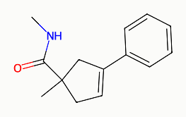 CNC(=O)C1(C)CC=C(c2ccccc2)C1